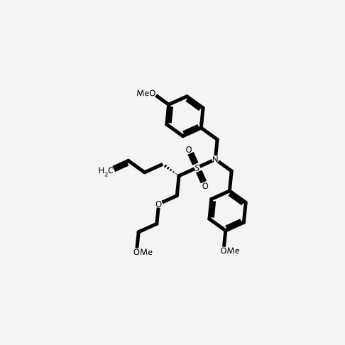 C=CCC[C@@H](COCCOC)S(=O)(=O)N(Cc1ccc(OC)cc1)Cc1ccc(OC)cc1